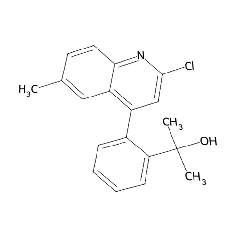 Cc1ccc2nc(Cl)cc(-c3ccccc3C(C)(C)O)c2c1